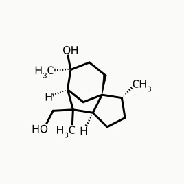 C[C@@H]1CC[C@H]2C(C)(CO)[C@@H]3C[C@]12CC[C@]3(C)O